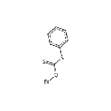 CCOC(=S)Sc1ccccc1